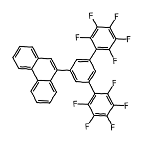 Fc1c(F)c(F)c(-c2cc(-c3c(F)c(F)c(F)c(F)c3F)cc(-c3cc4ccccc4c4ccccc34)c2)c(F)c1F